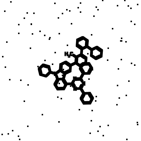 Cc1c(-c2ccc3c(c2)c2c(-c4nc(-c5ccccc5)nc(-c5ccccc5)n4)cccc2n3C2C=CC=CC2)cccc1-c1ccccc1C1C=CC=CC1